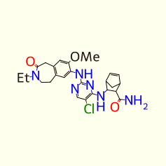 CCN1CCc2cc(Nc3ncc(Cl)c(NC4C5C=CC(C5)C4C(N)=O)n3)c(OC)cc2CC1=O